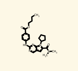 CCCCOC(=O)c1ccc(Nc2ncc3cc(C(=O)N(C)C)n(C4CCCC4)c3n2)cc1